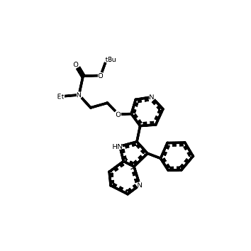 CCN(CCOc1cnccc1-c1[nH]c2cccnc2c1-c1ccccc1)C(=O)OC(C)(C)C